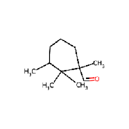 CC1CCCC(C)(C=O)C1(C)C